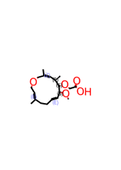 CO[C@H]1/C=C/CC/C(C)=C/COC/C(C)=C\[C@@H](C)[C@@H]1OCC(=O)O